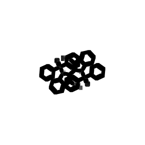 Cc1c(-c2c(C)c3ccccc3n2P(=O)(c2ccccc2)c2ccccc2)n(P(=O)(c2ccccc2)c2ccccc2)c2ccccc12